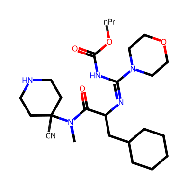 CCCOC(=O)NC(=NC(CC1CCCCC1)C(=O)N(C)C1(C#N)CCNCC1)N1CCOCC1